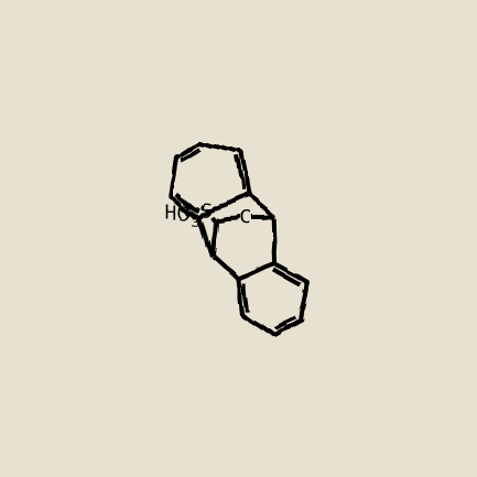 O=S(=O)(O)C1CC2c3ccccc3C1c1ccccc12